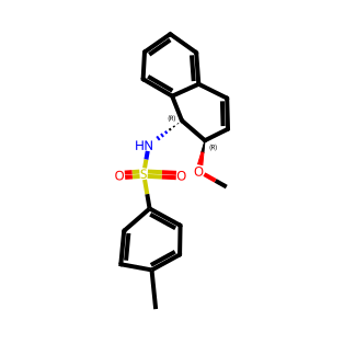 CO[C@@H]1C=Cc2ccccc2[C@H]1NS(=O)(=O)c1ccc(C)cc1